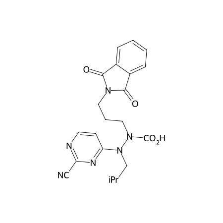 CC(C)CN(c1ccnc(C#N)n1)N(CCCN1C(=O)c2ccccc2C1=O)C(=O)O